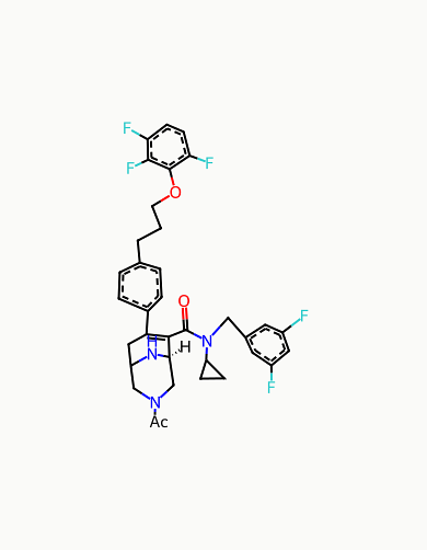 CC(=O)N1CC2CC(c3ccc(CCCOc4c(F)ccc(F)c4F)cc3)=C(C(=O)N(Cc3cc(F)cc(F)c3)C3CC3)[C@@H](C1)N2